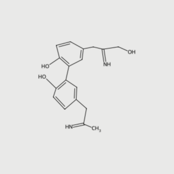 CC(=N)Cc1ccc(O)c(-c2cc(CC(=N)CO)ccc2O)c1